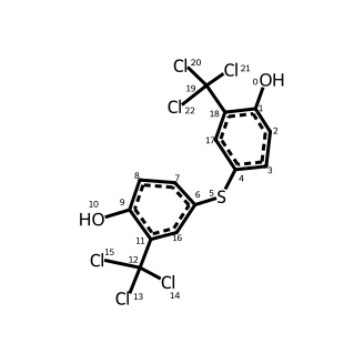 Oc1ccc(Sc2ccc(O)c(C(Cl)(Cl)Cl)c2)cc1C(Cl)(Cl)Cl